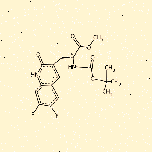 COC(=O)[C@H](Cc1cc2cc(F)c(F)cc2[nH]c1=O)NC(=O)OC(C)(C)C